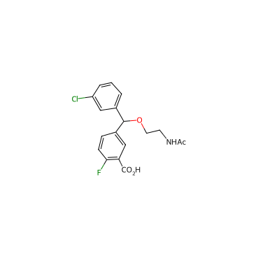 CC(=O)NCCOC(c1cccc(Cl)c1)c1ccc(F)c(C(=O)O)c1